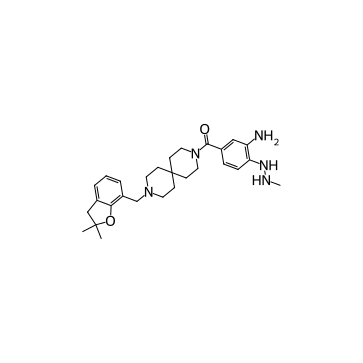 CNNc1ccc(C(=O)N2CCC3(CCN(Cc4cccc5c4OC(C)(C)C5)CC3)CC2)cc1N